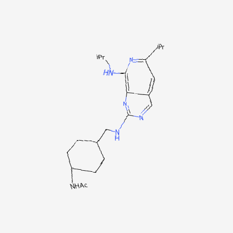 CC(=O)NC1CCC(CNc2ncc3cc(C(C)C)nc(NC(C)C)c3n2)CC1